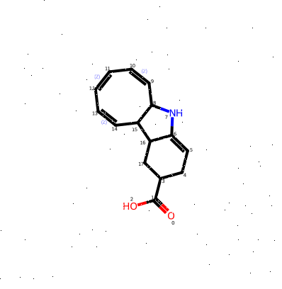 O=C(O)C1CC=C2NC3\C=C/C=C\C=C/C3C2C1